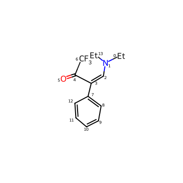 CCN(/C=C(\C(=O)C(F)(F)F)c1ccccc1)CC